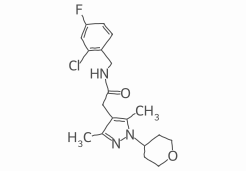 Cc1nn(C2CCOCC2)c(C)c1CC(=O)NCc1ccc(F)cc1Cl